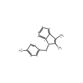 Cc1ccc(Cn2c(C)c(C)c3ccccc32)cc1